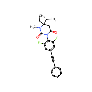 CCC1(CC)CC(=O)N(c2c(F)cc(C#Cc3ccccc3)cc2F)C(=O)N1C